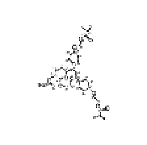 C=C(C)C(=O)OCCOc1ccc(-c2cc(-c3ccc(OCOC(=O)C(=C)C)cc3)c3ccc4cc(C(C)(C)C)cc5ccc2c3c54)cc1